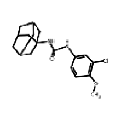 COc1ccc(NC(=O)NC23CC4CC(CC(C4)C2)C3)cc1Cl